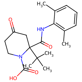 Cc1cccc(C)c1NC(=O)C1(C(C)(C)C)CC(=O)CCN1C(=O)O